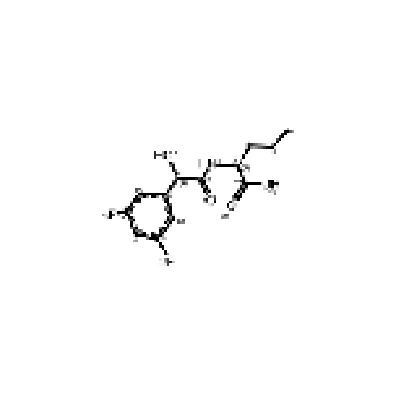 CCC[C@H](NC(=O)[C@H](O)c1cc(F)cc(F)c1)C(=O)O